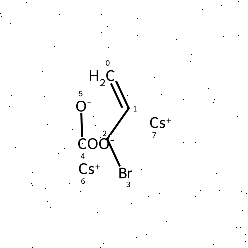 C=CCBr.O=C([O-])[O-].[Cs+].[Cs+]